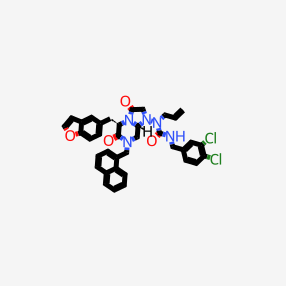 C=CCN(C(=O)NCc1ccc(Cl)c(Cl)c1)N1CC(=O)N2[C@@H](Cc3ccc4occc4c3)C(=O)N(Cc3cccc4ccccc34)C[C@@H]21